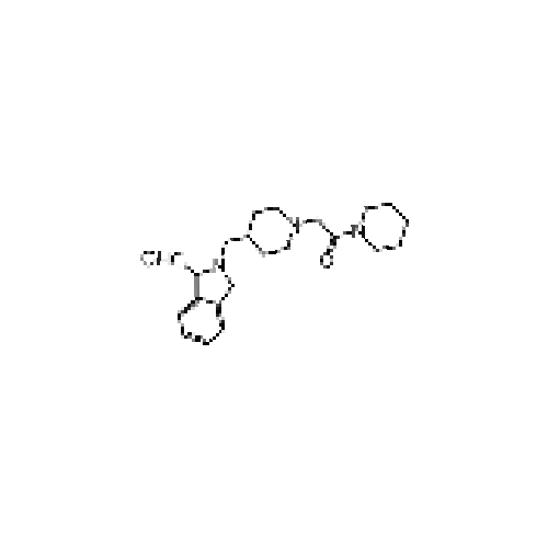 O=CC1c2ccccc2CN1CC1CCN(CC(=O)N2CCCCC2)CC1